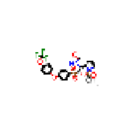 CS(=O)(=O)N1CCC[C@@H]1[C@@H](CS(=O)(=O)c1ccc(Oc2ccc(OC(F)(F)F)cc2)cc1)NC=O